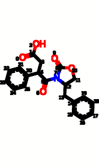 O=C(O)CC(C(=O)N1C(=O)OCC1Cc1ccccc1)c1ccccc1